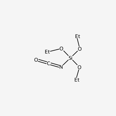 CCO[Si](N=C=O)(OCC)OCC